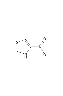 O=[N+]([O-])C1=CS[CH]N1